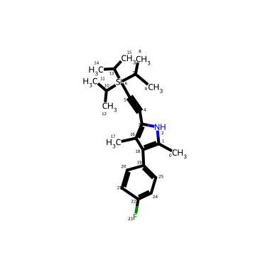 Cc1[nH]c(C#C[Si](C(C)C)(C(C)C)C(C)C)c(C)c1-c1ccc(F)cc1